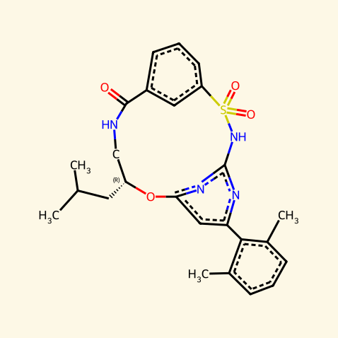 Cc1cccc(C)c1-c1cc2nc(n1)NS(=O)(=O)c1cccc(c1)C(=O)NC[C@@H](CC(C)C)O2